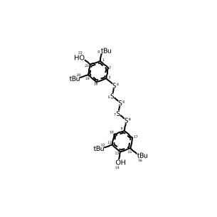 CC(C)(C)c1cc(SSSSSc2cc(C(C)(C)C)c(O)c(C(C)(C)C)c2)cc(C(C)(C)C)c1O